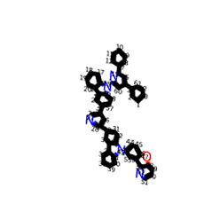 c1ccc(-c2cc(-c3ccccc3)nc(-n3c4ccccc4c4cc(-c5cncc(-c6ccc7c(c6)c6ccccc6n7-c6ccc7oc8cccnc8c7c6)c5)ccc43)c2)cc1